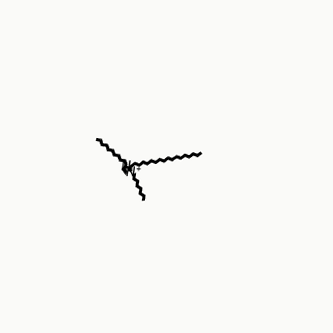 CCCCCCCCCCCCCCCCCc1n(CCCCCCCCCC)cc[n+]1CCCCCCCC